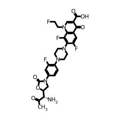 CC(=O)[C@@H](N)C1CN(c2ccc(N3CCN(c4c(F)cc5c(=O)c(C(=O)O)cn(CCF)c5c4F)CC3)c(F)c2)C(=O)O1